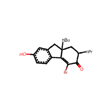 CCCCC12Cc3cc(O)ccc3C1=C(Br)C(=O)C(CCC)C2